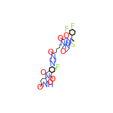 O=C(COc1c(-c2csc(N3CCOCC3)n2)ccc(F)c1F)NCCCCC(=O)N1CCN(c2cc3c(cc2F)C(=O)N(C2CCC(=O)NC2=O)C3=O)CC1